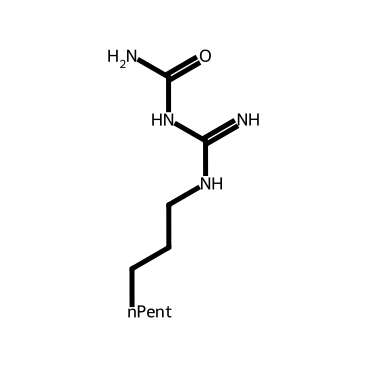 CCCCCCCCNC(=N)NC(N)=O